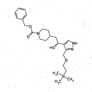 C[Si](C)(C)CCOCc1n[nH]cc1[C@@H](O)CC1CCN(C(=O)OCc2ccccc2)CC1